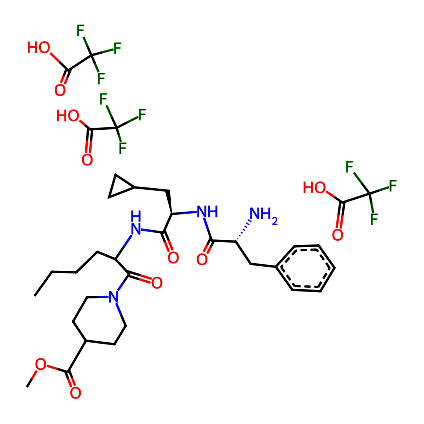 CCCCC(NC(=O)[C@@H](CC1CC1)NC(=O)[C@H](N)Cc1ccccc1)C(=O)N1CCC(C(=O)OC)CC1.O=C(O)C(F)(F)F.O=C(O)C(F)(F)F.O=C(O)C(F)(F)F